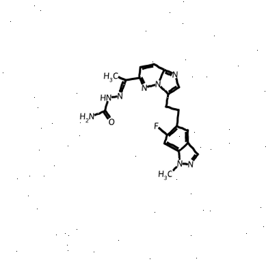 CC(=NNC(N)=O)c1ccc2ncc(CCc3cc4cnn(C)c4cc3F)n2n1